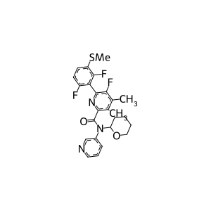 CSc1ccc(F)c(-c2nc(C(=O)N(c3cccnc3)C3CCCCO3)c(C)c(C)c2F)c1F